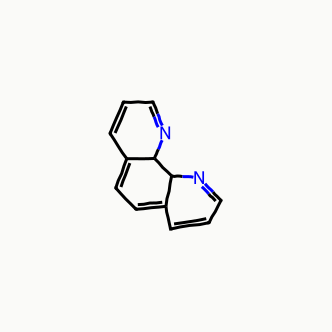 C1=CC2=CC=C3C=CC=NC3C2N=C1